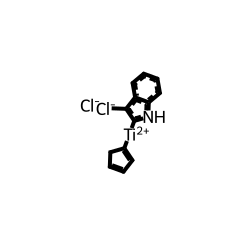 Cc1[c]([Ti+2][C]2=CC=CC2)[nH]c2ccccc12.[Cl-].[Cl-]